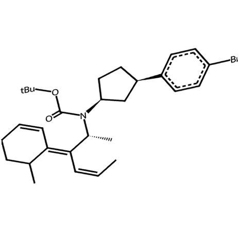 C/C=C\C(=C1\C=CCCC1C)[C@@H](C)N(C(=O)OC(C)(C)C)[C@H]1CC[C@@H](c2ccc(Br)cc2)C1